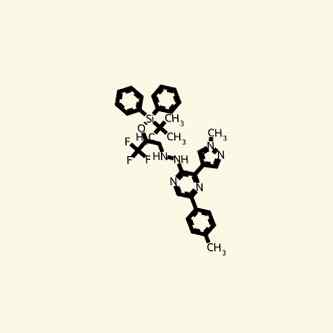 Cc1ccc(-c2cnc(NNCC(O[Si](c3ccccc3)(c3ccccc3)C(C)(C)C)C(F)(F)F)c(-c3cnn(C)c3)n2)cc1